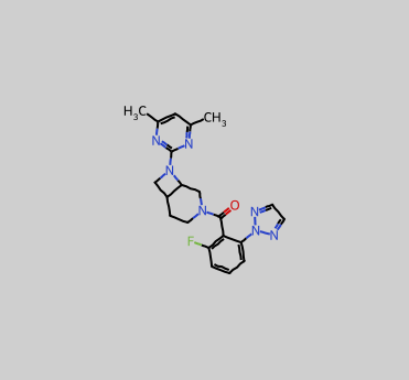 Cc1cc(C)nc(N2CC3CCN(C(=O)c4c(F)cccc4-n4nccn4)CC32)n1